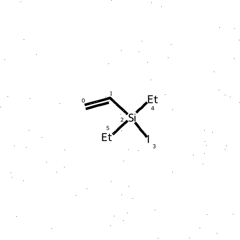 C=C[Si](I)(CC)CC